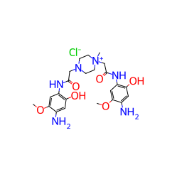 COc1cc(NC(=O)CN2CC[N+](C)(CC(=O)Nc3cc(OC)c(N)cc3O)CC2)c(O)cc1N.[Cl-]